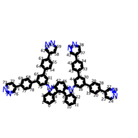 c1ccc2c(c1)c1c3c4ccccc4n(-c4cc(-c5ccc(-c6ccnnc6)cc5)cc(-c5ccc(-c6ccnnc6)cc5)c4)c3ccc1n2-c1cc(-c2ccc(-c3ccnnc3)cc2)cc(-c2ccc(-c3ccnnc3)cc2)c1